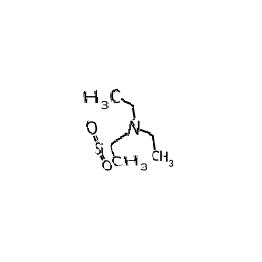 CCN(CC)CC.O=[Si]=O